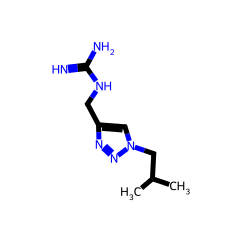 CC(C)Cn1cc(CNC(=N)N)nn1